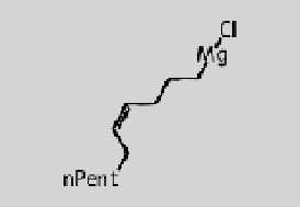 CCCCCC/C=C\CC[CH2][Mg][Cl]